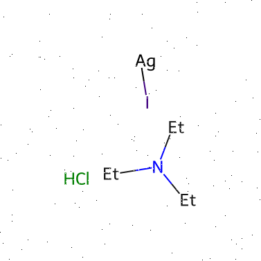 CCN(CC)CC.Cl.[Ag][I]